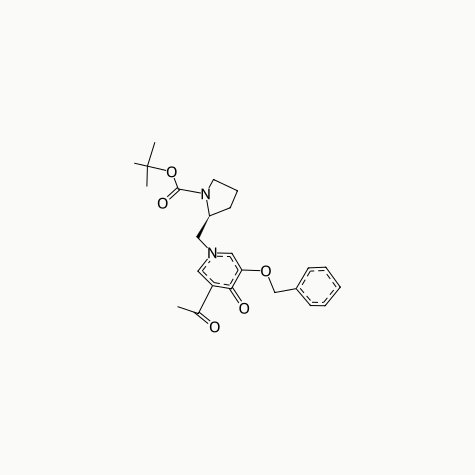 CC(=O)c1cn(C[C@@H]2CCCN2C(=O)OC(C)(C)C)cc(OCc2ccccc2)c1=O